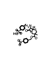 CC1(C(=O)OCc2ccc([N+](=O)[O-])cc2)CS[C@@H]2C(N)C(=O)N2C1.Cc1ccc(S(=O)(=O)O)cc1